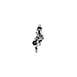 COCCOc1cccc(-c2nnc(NS(=O)(=O)[C@@H](C)[C@H](OC)c3ncc(Cl)cn3)n2C(COC)COC)n1